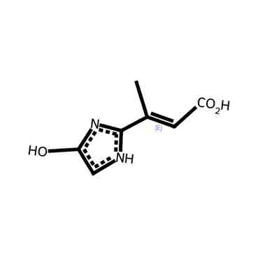 C/C(=C\C(=O)O)c1nc(O)c[nH]1